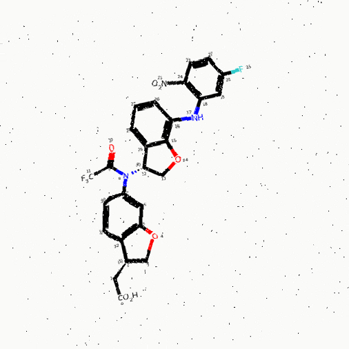 O=C(O)C[C@@H]1COc2cc(N(C(=O)C(F)(F)F)[C@H]3COc4c(Nc5cc(F)ccc5[N+](=O)[O-])cccc43)ccc21